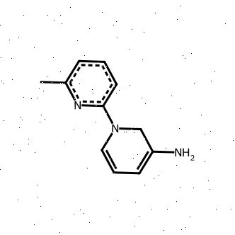 Cc1cccc(N2C=CC=C(N)C2)n1